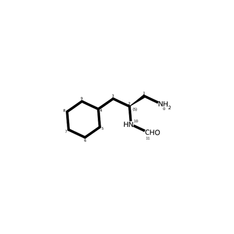 NC[C@H](CC1CCCCC1)NC=O